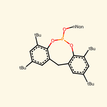 CCCCCCCCCOP1Oc2c(cc(C(C)(C)C)cc2C(C)(C)C)Cc2cc(C(C)(C)C)cc(C(C)(C)C)c2O1